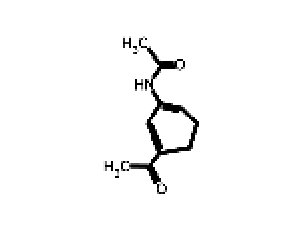 CC(=O)NC1=CCCC(C(C)=O)=C1